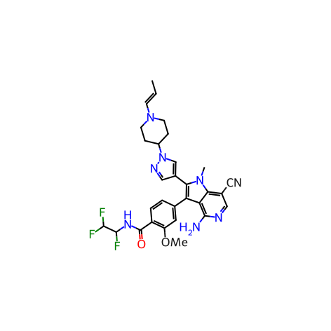 CC=CN1CCC(n2cc(-c3c(-c4ccc(C(=O)NC(F)C(F)F)c(OC)c4)c4c(N)ncc(C#N)c4n3C)cn2)CC1